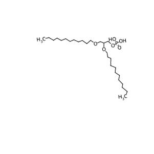 CCCCCCCCCCCCOCC(COP(=O)(O)O)OCCCCCCCCCCCC